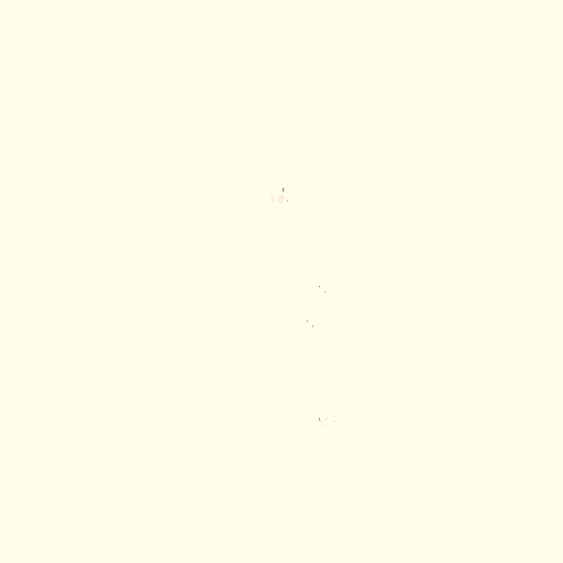 COc1ccc(CNC(=O)NC2CCC(C(=O)N[C@@H]3CCc4ccccc43)CC2)cc1